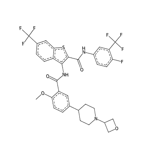 COc1ccc(C2CCN(C3COC3)CC2)cc1C(=O)Nc1c(C(=O)Nc2ccc(F)c(C(F)(F)F)c2)sc2cc(C(F)(F)F)ccc12